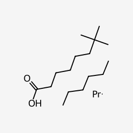 CC(C)(C)CCCCCC(=O)O.CCCCCC.[Pr]